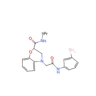 Bc1cccc(NC(=O)CN2CC(C(=O)NCCC)Oc3ccccc32)c1